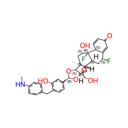 CNc1ccc(Cc2ccc([C@@H]3O[C@@H]4C[C@H]5[C@@H]6C[C@H](F)C7=CC(=O)C=C[C@]7(C)[C@@]6(F)[C@@H](O)C[C@]5(C)[C@]4(C(=O)CO)O3)cc2O)cc1